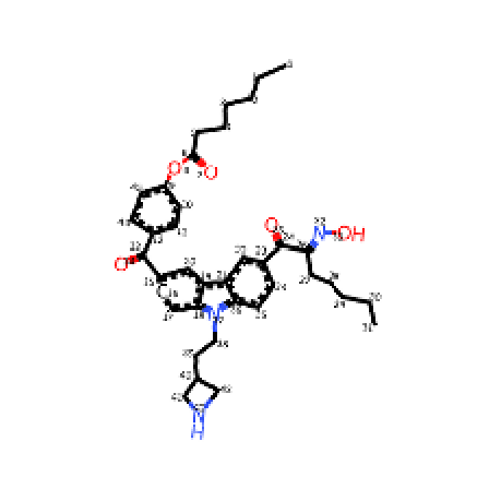 CCCCCCC(=O)Oc1ccc(C(=O)c2ccc3c(c2)c2cc(C(=O)/C(CCCCC)=N/O)ccc2n3CCC2CNC2)cc1